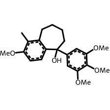 COc1ccc2c(c1C)CCCCC2(O)c1cc(OC)c(OC)c(OC)c1